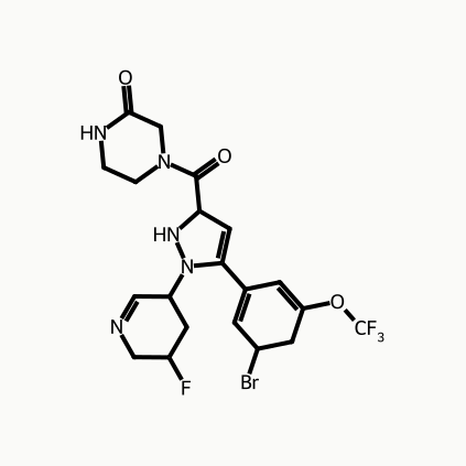 O=C1CN(C(=O)C2C=C(C3=CC(Br)CC(OC(F)(F)F)=C3)N(C3C=NCC(F)C3)N2)CCN1